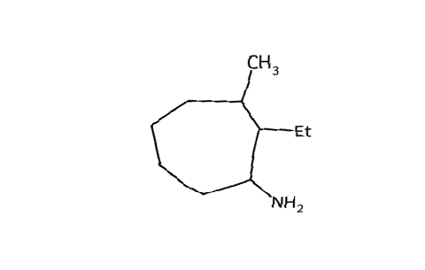 CCC1C(C)CCCCC1N